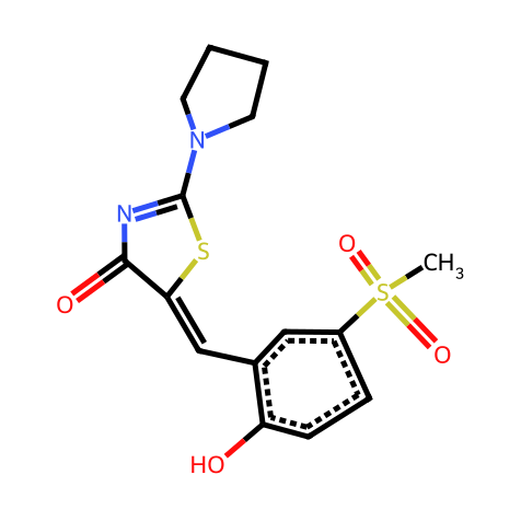 CS(=O)(=O)c1ccc(O)c(/C=C2\SC(N3CCCC3)=NC2=O)c1